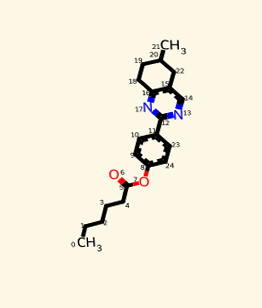 CCCCCC(=O)Oc1ccc(-c2ncc3c(n2)CCC(C)C3)cc1